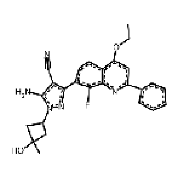 CCOc1cc(-c2ccccc2)nc2c(F)c(-c3nn(C4CC(C)(O)C4)c(N)c3C#N)ccc12